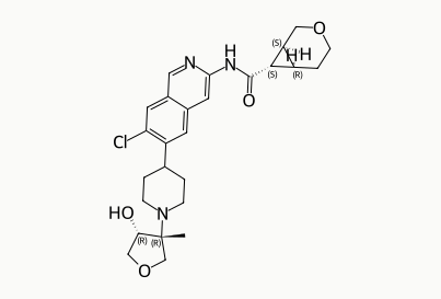 C[C@@]1(N2CCC(c3cc4cc(NC(=O)[C@H]5[C@@H]6CCOC[C@@H]65)ncc4cc3Cl)CC2)COC[C@@H]1O